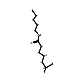 CCCCCNC(=O)CCCCC(C)C